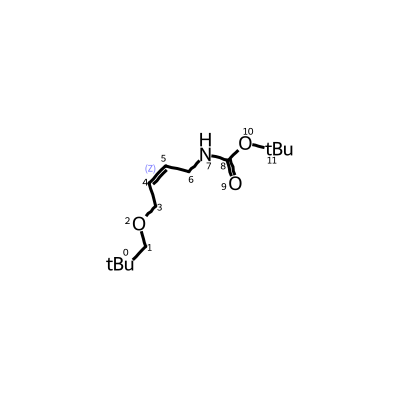 CC(C)(C)COC/C=C\CNC(=O)OC(C)(C)C